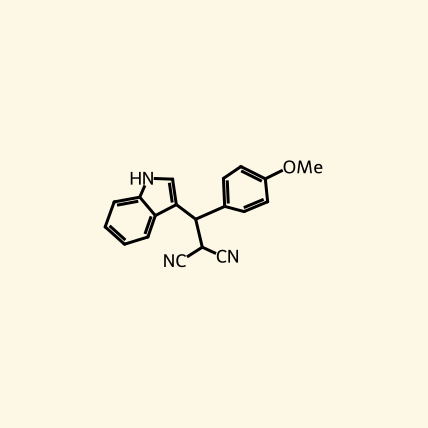 COc1ccc(C(c2c[nH]c3ccccc23)C(C#N)C#N)cc1